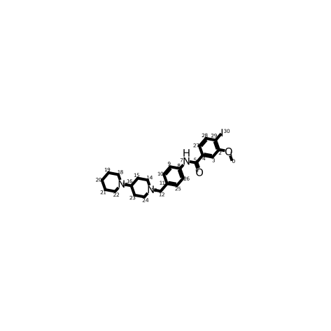 COc1cc(C(=O)Nc2ccc(CN3CCC(N4CCCCC4)CC3)cc2)ccc1I